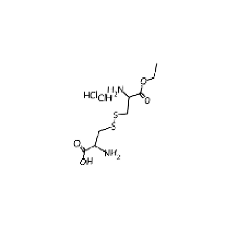 CCOC(=O)C(N)CSSCC(N)C(=O)O.Cl.Cl